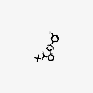 CC(C)(C)OC(=O)N1CCC[C@@H]1c1nnn(-c2cccc(Br)c2)n1